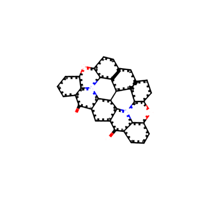 O=c1c2cc3c(=O)c4cccc5oc6ccccc6n(c3c(-c3ccccc3)c2n2c3ccccc3oc3cccc1c32)c54